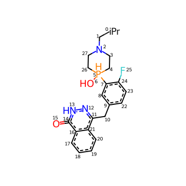 CC(C)CN1CC[PH](O)(c2cc(Cc3n[nH]c(=O)c4ccccc34)ccc2F)CC1